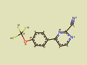 N#Cc1nccc(-c2ccc(OC(F)(F)F)cc2)n1